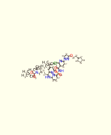 CC(C)(C)OC(=O)N1C[C@@H](CCC(Nc2cccc(S(=O)(=O)NC(=O)c3ccc(-n4ccc(OCCC5CCCC5)n4)nc3Cl)n2)c2cc(C(C)(C)C)ccn2)CC1(C)C